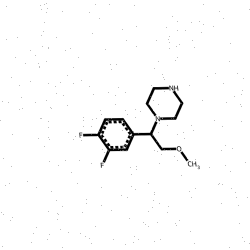 COCC(c1ccc(F)c(F)c1)N1CCNCC1